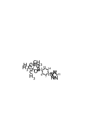 CC1(C)OB(c2ccc(-n3ncnn3)cc2)OC1(C)C